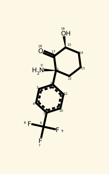 N[C@]1(c2ccc(C(F)(F)F)cc2)CCC[C@H](O)C1=O